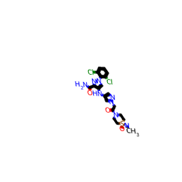 CN=S1(=O)CCN(C(=O)Cn2cc(Nc3cn(-c4c(Cl)cccc4Cl)nc3C(N)=O)cn2)CC1